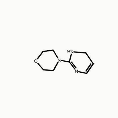 [C]1=CN=C(N2CCOCC2)NC1